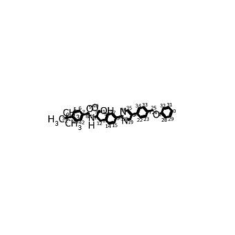 CC(C)(C)c1ccc(C(=O)NC(Cc2ccc(-c3ncc(-c4ccc(COc5ccccc5)cc4)cn3)cc2)C(=O)O)cc1